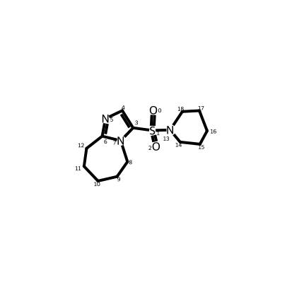 O=S(=O)(c1cnc2n1CCCCC2)N1CCCCC1